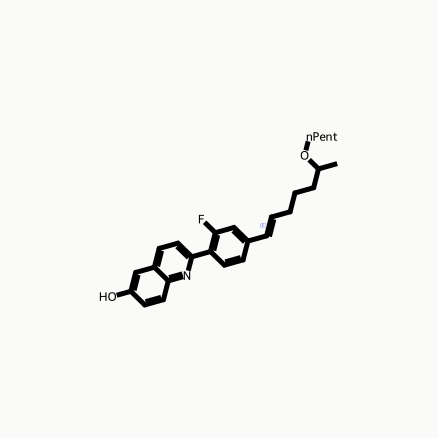 CCCCCOC(C)CCC/C=C/c1ccc(-c2ccc3cc(O)ccc3n2)c(F)c1